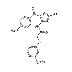 CCc1cc(C(=O)c2ccc(OC)cc2)c(NC(=O)CSc2cccc(C(=O)O)c2)s1